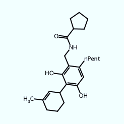 CCCCCc1cc(O)c(C2C=C(C)CCC2)c(O)c1CNC(=O)C1CCCC1